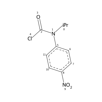 CC(C)N(C(=O)Cl)c1ccc([N+](=O)[O-])cc1